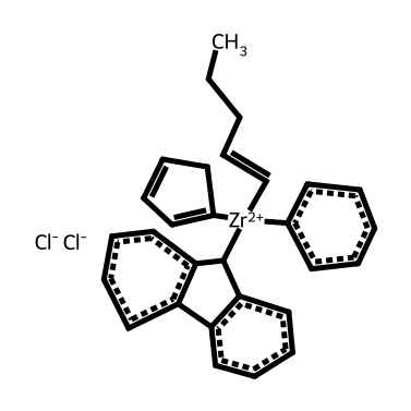 CCCC=[CH][Zr+2]([C]1=CC=CC1)([c]1ccccc1)[CH]1c2ccccc2-c2ccccc21.[Cl-].[Cl-]